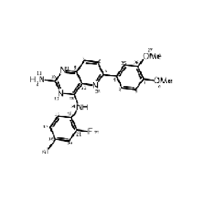 COc1ccc(-c2ccc3nc(N)nc(Nc4ccc(I)cc4F)c3n2)cc1OC